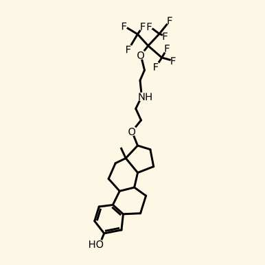 CC12CCC3c4ccc(O)cc4CCC3C1CCC2OCCNCCOC(C(F)(F)F)(C(F)(F)F)C(F)(F)F